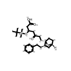 CC(C)(C)[Si](C)(C)OC(CC(=O)O)CC(=O)CC[C@@]12CC[C@H](C[C@H]1CCc1ccccc1)O2